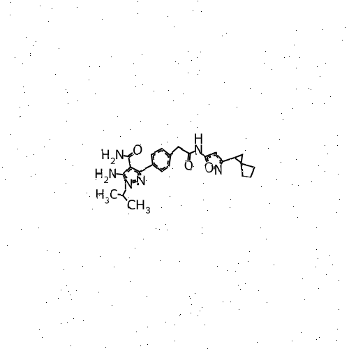 CC(C)n1nc(-c2ccc(CC(=O)Nc3cc(C4CC45CCC5)no3)cc2)c(C(N)=O)c1N